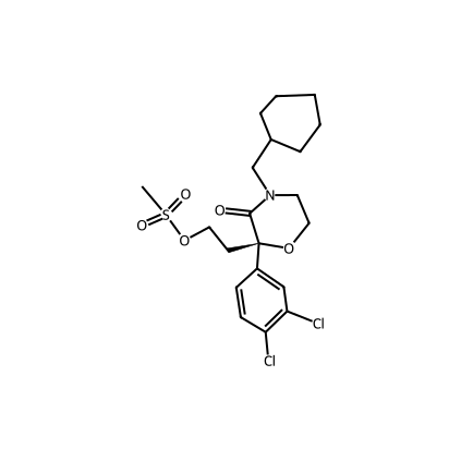 CS(=O)(=O)OCC[C@]1(c2ccc(Cl)c(Cl)c2)OCCN(CC2CCCCC2)C1=O